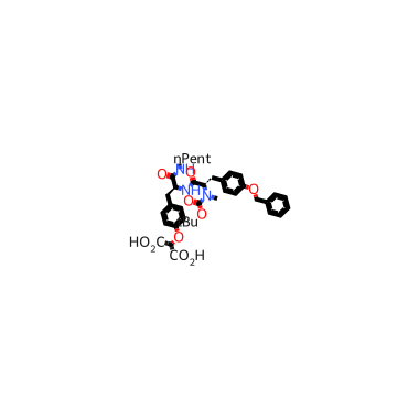 CCCCCNC(=O)[C@H](Cc1ccc(OC(C(=O)O)C(=O)O)cc1)NC(=O)[C@H](Cc1ccc(OCc2ccccc2)cc1)N(C)C(=O)OC(C)(C)C